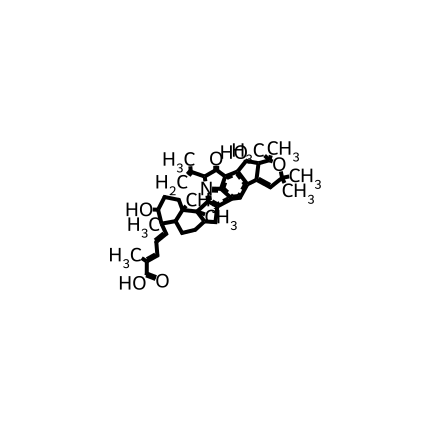 C=C(C)C1C(=O)c2c3c(cc4c5c(n1c24)C1(C)C(CCC2C(C)(/C=C/C=C(\C)C(=O)O)C(O)CCC21C)C5)C1=CC(C)(C)OC(C)(C)C1C3O